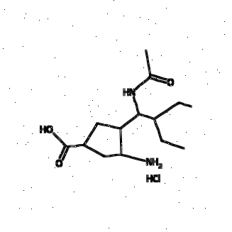 CCC(CC)C(NC(C)=O)C1CC(C(=O)O)CC1N.Cl